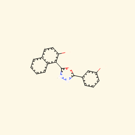 Oc1cccc(-c2nnc(-c3c(O)ccc4ccccc34)o2)c1